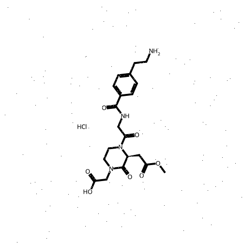 COC(=O)C[C@H]1C(=O)N(CC(=O)O)CCN1C(=O)CNC(=O)c1ccc(CCN)cc1.Cl